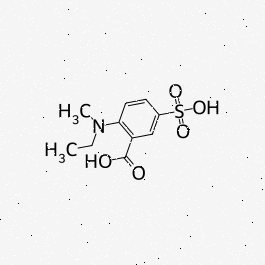 CCN(C)c1ccc(S(=O)(=O)O)cc1C(=O)O